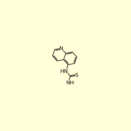 [NH]C(=S)Nc1cccc2ncccc12